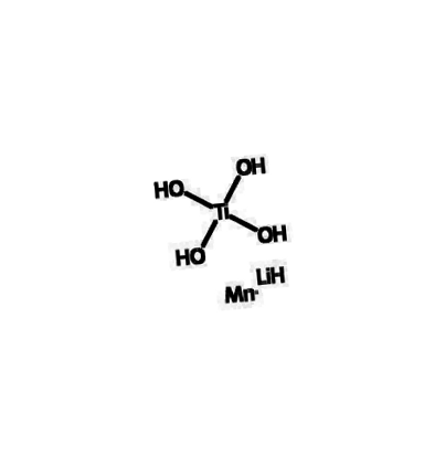 [LiH].[Mn].[OH][Ti]([OH])([OH])[OH]